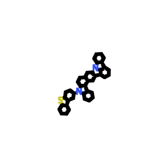 c1ccc2c(c1)sc1ccc(-n3c4ccccc4c4c5cc6c7cccc8c9ccccc9n(c6cc5ccc43)c87)cc12